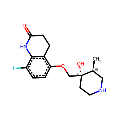 C[C@H]1CNCC[C@@]1(O)COc1ccc(F)c2c1CCC(=O)N2